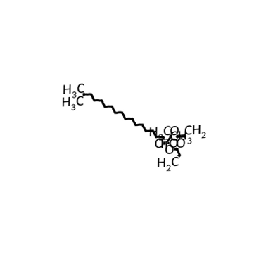 C=CC(=O)[O][Ti](=[O])([CH2]CCCCCCCCCCCCCCC(C)C)([O]C(=O)C=C)[CH](C)C